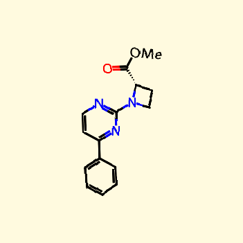 COC(=O)[C@@H]1CCN1c1nccc(-c2ccccc2)n1